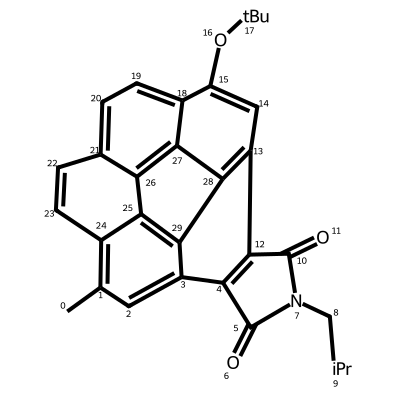 Cc1cc2c3c(=O)n(CC(C)C)c(=O)c3c3cc(OC(C)(C)C)c4ccc5ccc1c1c5c4c3c21